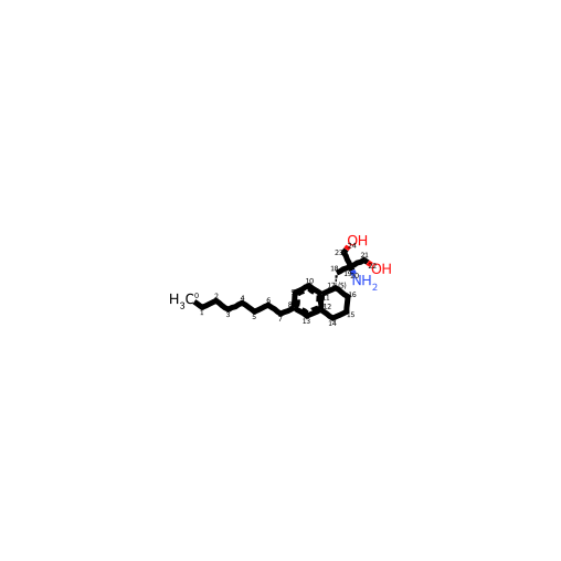 CCCCCCCCc1ccc2c(c1)CCC[C@H]2CC(N)(CO)CO